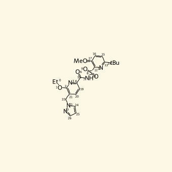 CCOc1nc(C(=O)NS(=O)(=O)c2nc(C(C)(C)C)ccc2OC)ccc1Cn1cccn1